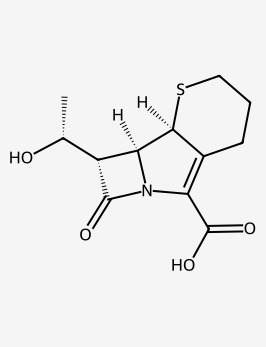 C[C@@H](O)[C@H]1C(=O)N2C(C(=O)O)=C3CCCS[C@@H]3[C@H]12